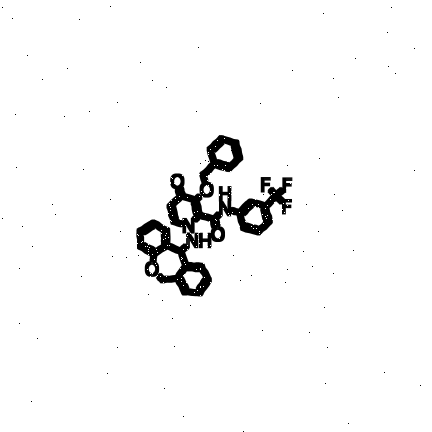 O=C(Nc1cccc(C(F)(F)F)c1)c1c(OCc2ccccc2)c(=O)ccn1NC1c2ccccc2COc2ccccc21